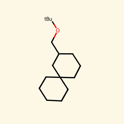 CC(C)(C)OCC1CCCC2(CCCCC2)C1